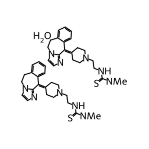 CNC(=S)NCCN1CCC(=C2c3ccccc3CCn3ccnc32)CC1.CNC(=S)NCCN1CCC(=C2c3ccccc3CCn3ccnc32)CC1.O